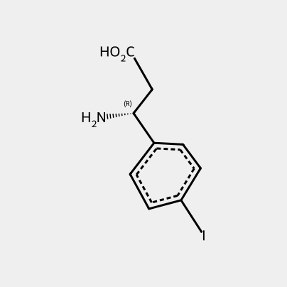 N[C@H](CC(=O)O)c1ccc(I)cc1